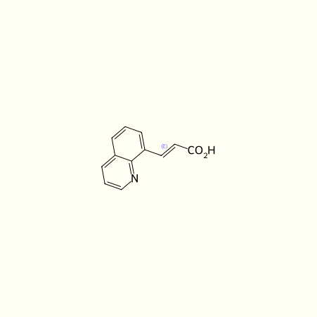 O=C(O)/C=C/c1cccc2cccnc12